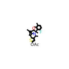 CC(=O)Oc1cc2c(s1)CC(C)N(C(C)(C(=O)C1C(C)C1C)c1c(F)ccc(C)c1C)C2C